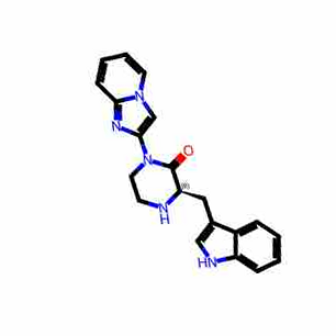 O=C1[C@@H](Cc2c[nH]c3ccccc23)NCCN1c1cn2ccccc2n1